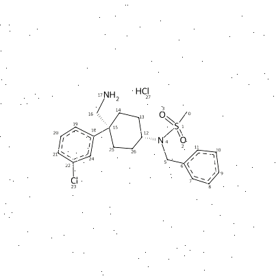 CS(=O)(=O)N(Cc1ccccc1)[C@H]1CC[C@](CN)(c2cccc(Cl)c2)CC1.Cl